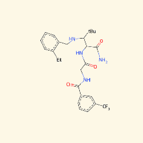 CCc1ccccc1CNC(C(NC(=O)CNC(=O)c1cccc(C(F)(F)F)c1)C(N)=O)C(C)(C)C